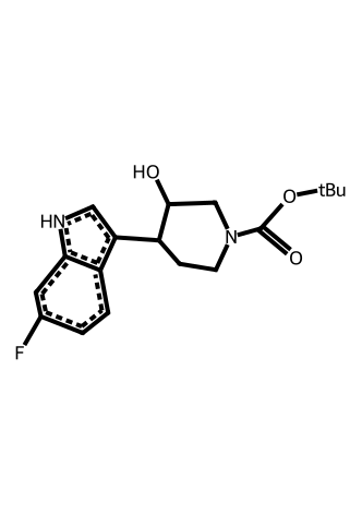 CC(C)(C)OC(=O)N1CCC(c2c[nH]c3cc(F)ccc23)C(O)C1